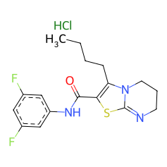 CCCCC1=C(C(=O)Nc2cc(F)cc(F)c2)SC2=NCCCN21.Cl